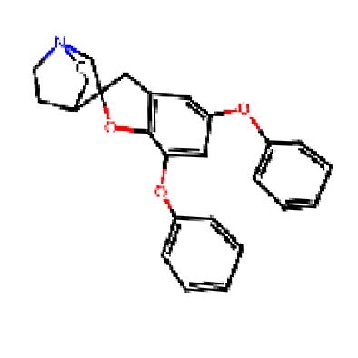 c1ccc(Oc2cc3c(c(Oc4ccccc4)c2)OC2(C3)CN3CCC2CC3)cc1